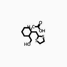 CC(=O)O.OCC1CCCCC1CC1SCCS1